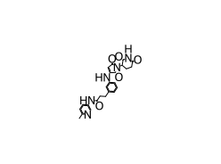 Cc1ccc(NC(=O)CCc2cccc(NC3=CC(=O)N(C4CCC(=O)NC4=O)C3=O)c2)cn1